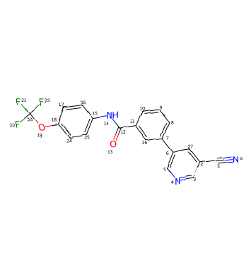 N#Cc1cncc(-c2cccc(C(=O)Nc3ccc(OC(F)(F)F)cc3)c2)c1